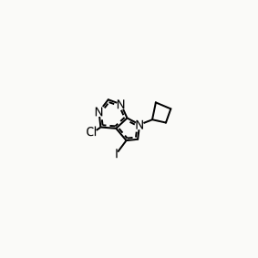 Clc1ncnc2c1c(I)cn2C1CCC1